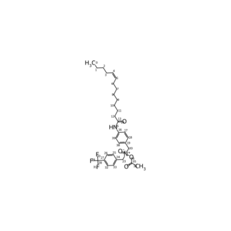 CCCC/C=C\CCCCCCCC(=O)Nc1ccc(C[N+]([O-])(Cc2ccc(C(F)(F)F)cc2)OC(C)=O)cc1